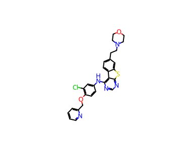 Clc1cc(Nc2ncnc3sc4cc(CCN5CCOCC5)ccc4c23)ccc1OCc1ccccn1